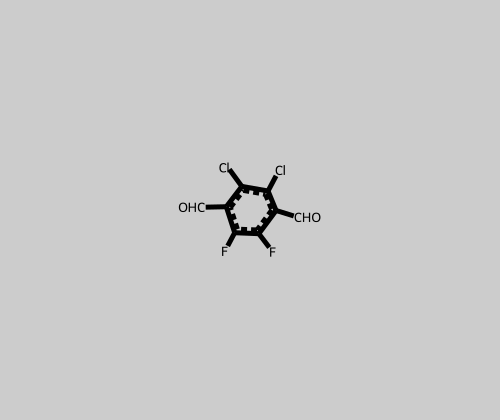 O=Cc1c(F)c(F)c(C=O)c(Cl)c1Cl